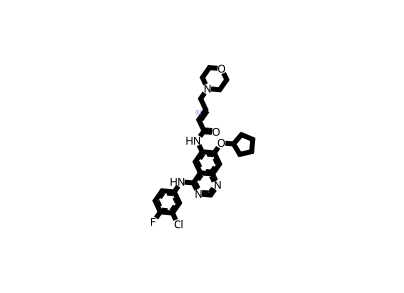 O=C(/C=C/CN1CCOCC1)Nc1cc2c(Nc3ccc(F)c(Cl)c3)ncnc2cc1OC1CCCC1